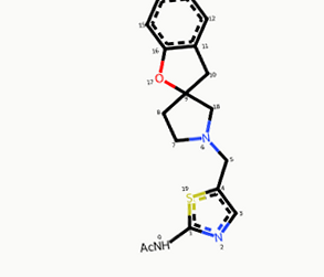 CC(=O)Nc1ncc(CN2CCC3(Cc4ccccc4O3)C2)s1